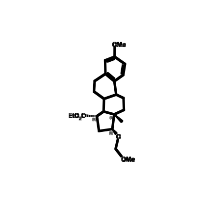 CCOC(=O)[C@H]1C[C@H](OCOC)[C@@]2(C)CCC3c4ccc(OC)cc4CCC3C12